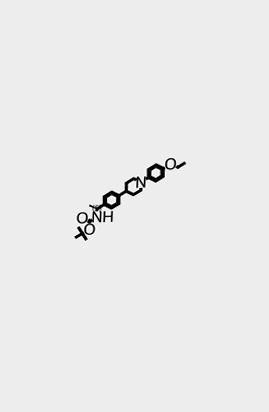 CCOc1ccc(N2CCC(c3ccc([C@H](C)NC(=O)OC(C)(C)C)cc3)CC2)cc1